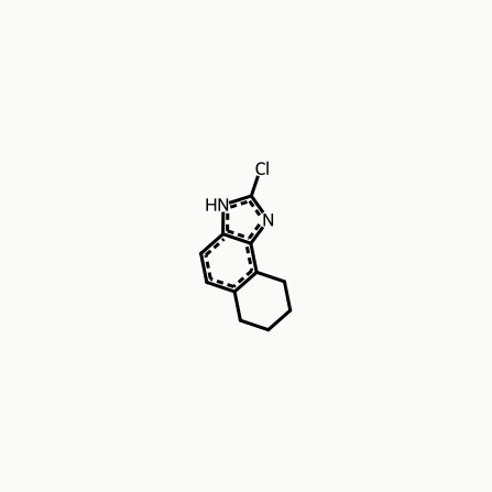 Clc1nc2c3c(ccc2[nH]1)CCCC3